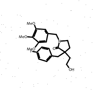 COc1cc(CN2CCC(CCO)(Cc3ccc(F)cc3)C2=O)cc(OC)c1OC